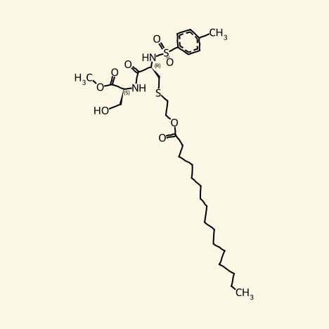 CCCCCCCCCCCCCCCC(=O)OCCSC[C@H](NS(=O)(=O)c1ccc(C)cc1)C(=O)N[C@@H](CO)C(=O)OC